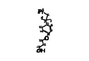 CC(C)CC(C)(C)C1C=CC(OCCCO)=CC1